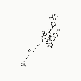 CCCCCCCC(=O)CCCCCC/C=C/[C@H](C(=O)N[C@@H](Cc1ccc(O)cc1)C(=O)OC)[C@@](O)(CC(=O)OCc1ccc(OC(C)=O)cc1)C(=O)O